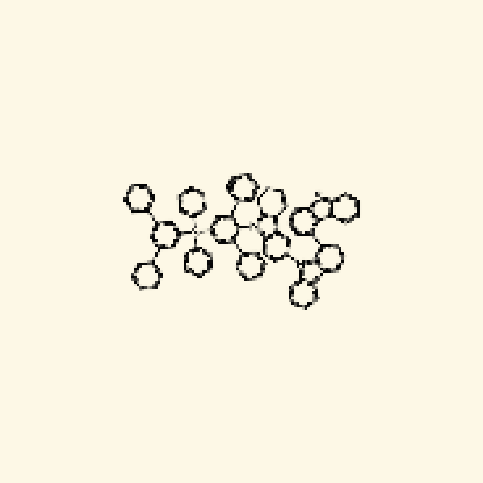 c1cccc(-c2cc(S(c3ccccc3)(c3ccccc3)c3cc(-c4ccccc4)cc(-c4ccccc4)c3)cc(-c3ccccc3)c2-n2c3c(c4cc(-n5c6ccccc6c6cccc(-c7cccc8sc9ccccc9c78)c65)ccc42)C=CCC3)c#1